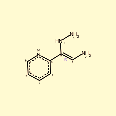 N/C=C(\NN)c1ccccn1